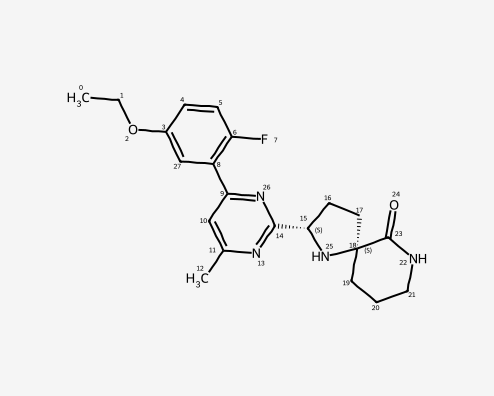 CCOc1ccc(F)c(-c2cc(C)nc([C@@H]3CC[C@]4(CCCNC4=O)N3)n2)c1